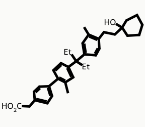 CCC(CC)(c1ccc(CCC2(O)CCCCC2)c(C)c1)c1ccc(-c2ccc(CC(=O)O)cc2)c(C)c1